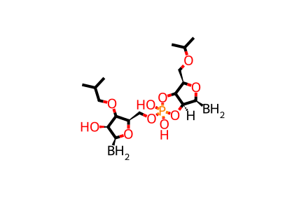 B[C@@H]1O[C@H](COP2(O)(O)OC3[C@@H](COC(C)C)O[C@@H](B)[C@H]3O2)C(OCC(C)C)[C@@H]1O